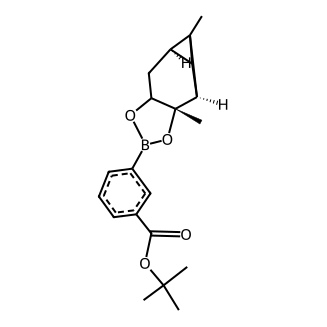 CC(C)(C)OC(=O)c1cccc(B2OC3C[C@@H]4C5[C@@H](C54C)[C@]3(C)O2)c1